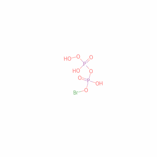 O=P(O)(OO)OP(=O)(O)OBr